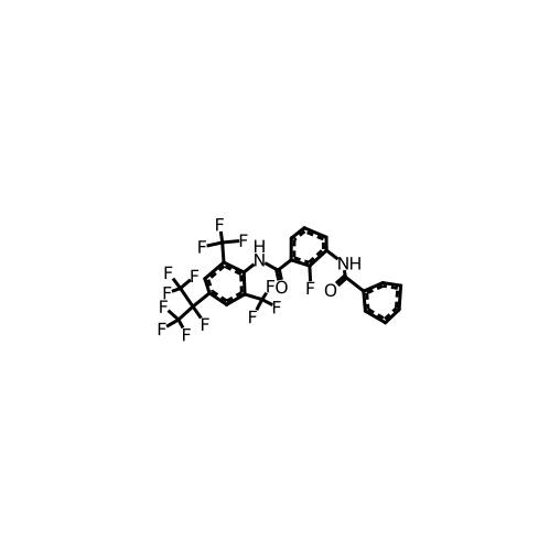 O=C(Nc1cccc(C(=O)Nc2c(C(F)(F)F)cc(C(F)(C(F)(F)F)C(F)(F)F)cc2C(F)(F)F)c1F)c1ccccc1